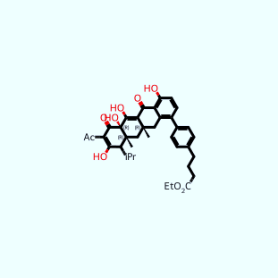 CCOC(=O)CCCc1ccc(-c2ccc(O)c3c2C[C@]2(C)C[C@]4(C)C(C(C)C)C(O)=C(C(C)=O)C(=O)[C@]4(O)C(O)=C2C3=O)cc1